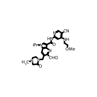 COCCNc1cc(NC(=O)c2cn(C(C)C)c3cc(CN4CCN(C)CC4=O)c(C=O)nc23)ncc1C#N